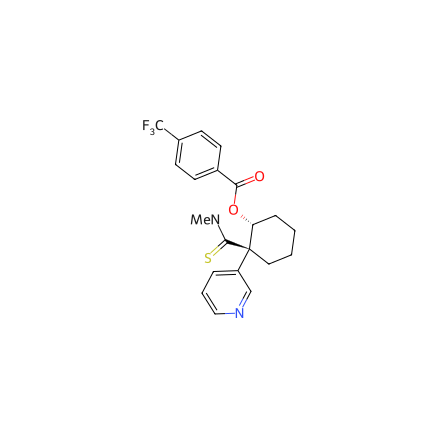 CNC(=S)[C@]1(c2cccnc2)CCCC[C@H]1OC(=O)c1ccc(C(F)(F)F)cc1